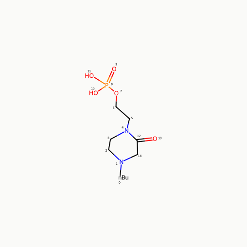 CCCCN1CCN(CCOP(=O)(O)O)C(=O)C1